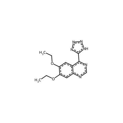 CCOc1cc2ncnc(-c3nnn[nH]3)c2cc1OCC